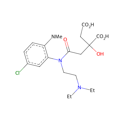 CCN(CC)CCN(C(=O)CC(O)(CC(=O)O)C(=O)O)c1cc(Cl)ccc1NC